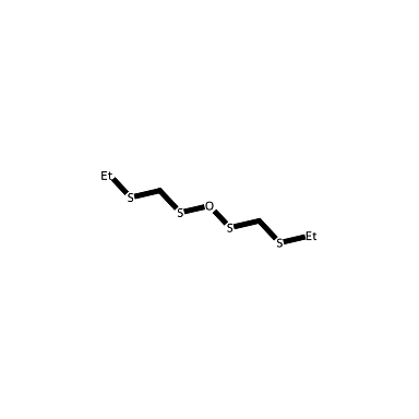 CCSCSOSCSCC